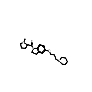 CN1CCCC1C(=O)N1CCc2cc(OCCCN3CCCCC3)ccc21